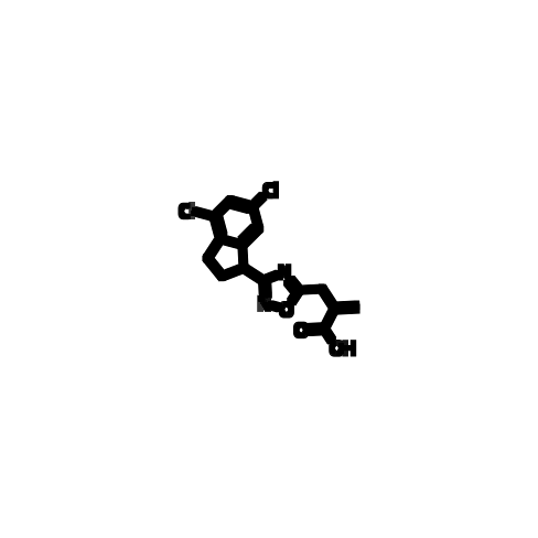 C=C(Cc1nc(C2CCc3c(Cl)cc(Cl)cc32)no1)C(=O)O